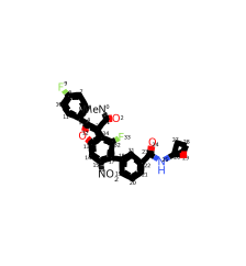 CNC(=O)c1c(-c2ccc(F)cc2)oc2cc([N+](=O)[O-])c(-c3cccc(C(=O)NC45CC(C4)C5)c3)c(F)c12